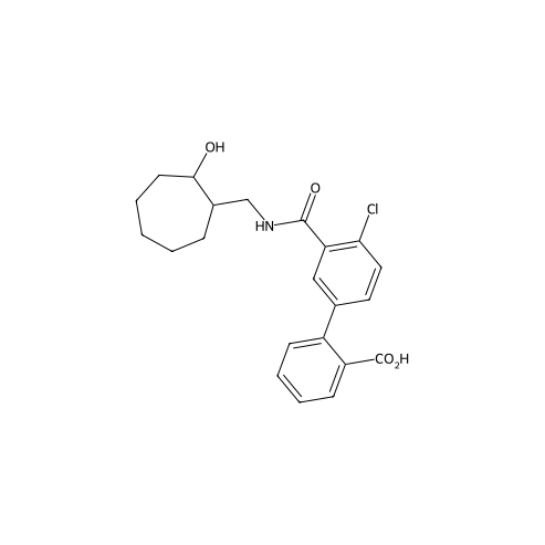 O=C(NCC1CCCCCC1O)c1cc(-c2ccccc2C(=O)O)ccc1Cl